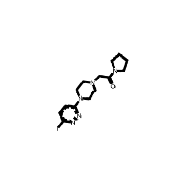 O=C(CN1CCN(c2ccc(I)nn2)CC1)N1CCCC1